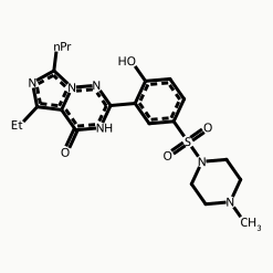 CCCc1nc(CC)c2c(=O)[nH]c(-c3cc(S(=O)(=O)N4CCN(C)CC4)ccc3O)nn12